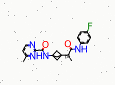 Cc1ccnc(C(=O)NC23CC([C@H](C)C(=O)Nc4ccc(F)cc4)(C2)C3)n1